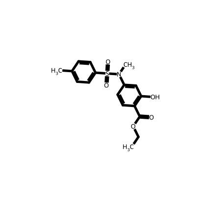 CCOC(=O)c1ccc(N(C)S(=O)(=O)c2ccc(C)cc2)cc1O